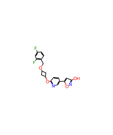 Oc1cc(-c2ccc(OC3CC(OCc4ccc(F)cc4F)C3)nc2)on1